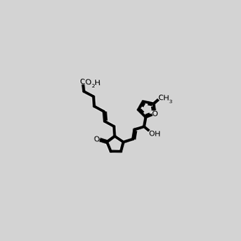 Cc1ccc(C(O)C=CC2CCC(=O)C2CC=CCCCC(=O)O)o1